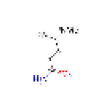 CNC(CCC(N)=O)C(C)C